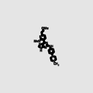 CNc1nc(CCOC)ccc1-c1nc(Nc2ccc(N3CCN(C)CC3)cc2)nc2[nH]cnc12